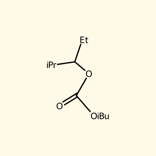 CCC(OC(=O)OCC(C)C)C(C)C